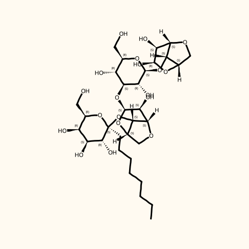 CCCCCCCC[C@@]1(O[C@@H]2[C@H]3OC[C@@H]2O[C@@H](O[C@@H]2[C@@H](O)[C@H](O[C@@H]4[C@H]5OC[C@@H]4O[C@@H](O)[C@H]5O)O[C@H](CO)[C@H]2O)[C@H]3O)O[C@H](CO)[C@H](O)[C@H](O)[C@H]1O